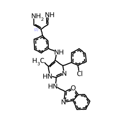 CC1=C(Nc2cccc(/C(C=N)=C/N)c2)C(c2ccccc2Cl)N=C(Nc2nc3ccccc3o2)N1